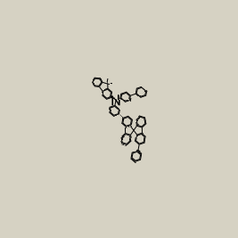 CC1(C)c2ccccc2-c2ccc(N(c3ccc(-c4ccccc4)cc3)c3cccc(-c4ccc5c(c4)-c4ccccc4C54c5ccccc5-c5ccc(-c6ccccc6)cc54)c3)cc21